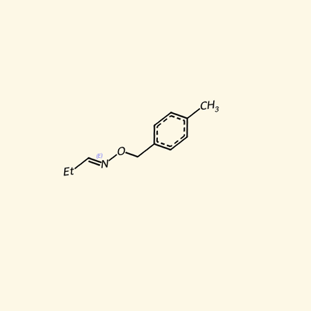 CC/C=N/OCc1ccc(C)cc1